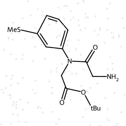 CSc1cccc(N(CC(=O)OC(C)(C)C)C(=O)CN)c1